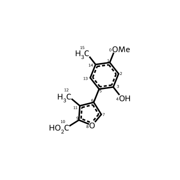 COc1cc(O)c(-c2coc(C(=O)O)c2C)cc1C